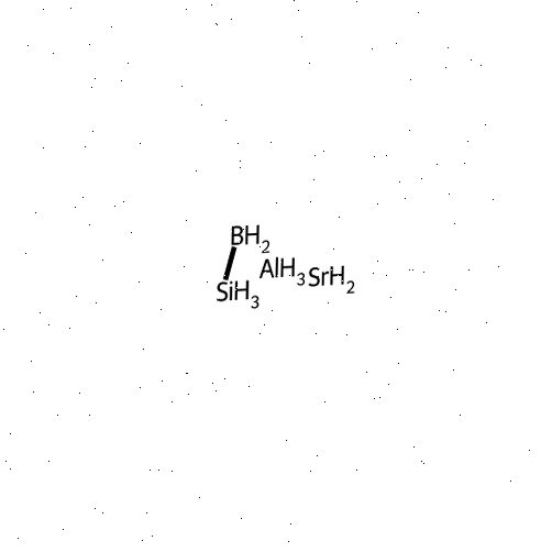 B[SiH3].[AlH3].[SrH2]